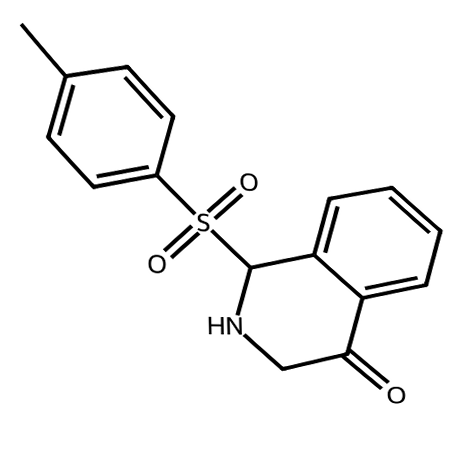 Cc1ccc(S(=O)(=O)C2NCC(=O)c3ccccc32)cc1